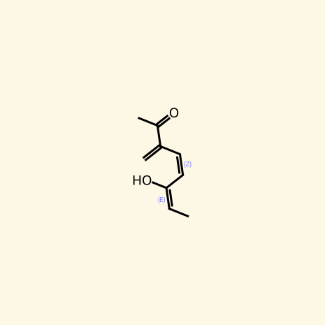 C=C(/C=C\C(O)=C/C)C(C)=O